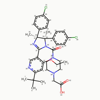 CCOc1cc(C(C)(C)C)ncc1C1=N[C@@](C)(c2ccc(Cl)cc2)[C@@](C)(c2ccc(Cl)cc2)N1C(=O)N1CCN(CC(=O)O)CC1